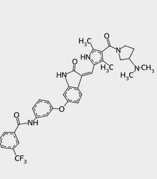 Cc1[nH]c(C=C2C(=O)Nc3cc(Oc4cccc(NC(=O)c5cccc(C(F)(F)F)c5)c4)ccc32)c(C)c1C(=O)N1CCC(N(C)C)C1